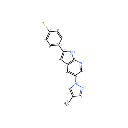 Cc1cnn(-c2cnc3[nH]c(-c4ccc(F)cc4)cc3c2)c1